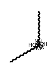 CCCCCCCCCCCCCCCCC(CCCCCCCCCCCCCCCC)(C(N)O)P(=O)(O)O